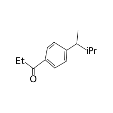 CCC(=O)c1ccc(C(C)C(C)C)cc1